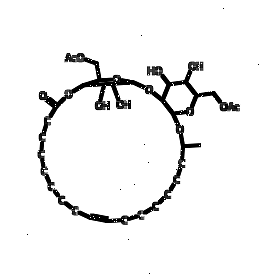 CC(=O)OCC1OC2OC(C)CCCCCCC=CCCCCCCCC(=O)OC3C(COC(C)=O)OC(OC2C(O)C1O)C(O)C3O